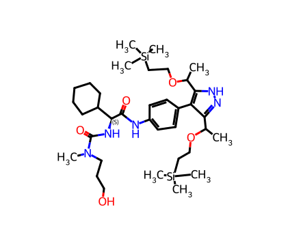 CC(OCC[Si](C)(C)C)c1n[nH]c(C(C)OCC[Si](C)(C)C)c1-c1ccc(NC(=O)[C@@H](NC(=O)N(C)CCCO)C2CCCCC2)cc1